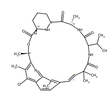 Cc1c2nc3c(C)c(ccc3c1Cl)/C=C/C(C)(C)C(=O)NC(C(C)C)C(=O)N[C@@H](C)C(=O)N1CCC[C@H](N1)C(=O)O[C@@H]2C